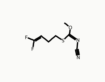 CO/C(=N/C#N)SCCC=C(F)F